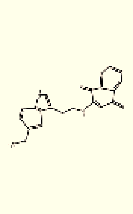 COc1ccc2[nH]cc(CCNC3=CC(=O)c4cccnc4C3=O)c2c1